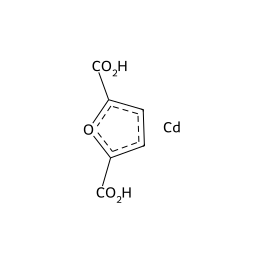 O=C(O)c1ccc(C(=O)O)o1.[Cd]